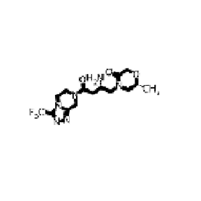 C[C@@H]1CN(C[C@@H](N)CC(=O)N2CCn3c(nnc3C(F)(F)F)C2)C(=O)CO1